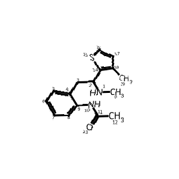 CNC(Cc1ccccc1NC(C)=O)c1sccc1C